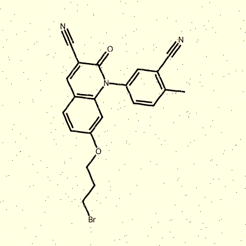 Cc1ccc(-n2c(=O)c(C#N)cc3ccc(OCCCBr)cc32)cc1C#N